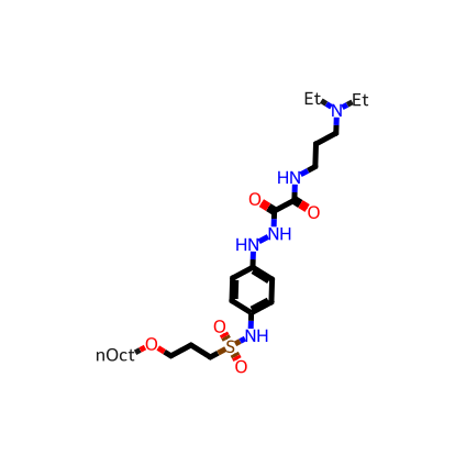 CCCCCCCCOCCCS(=O)(=O)Nc1ccc(NNC(=O)C(=O)NCCCN(CC)CC)cc1